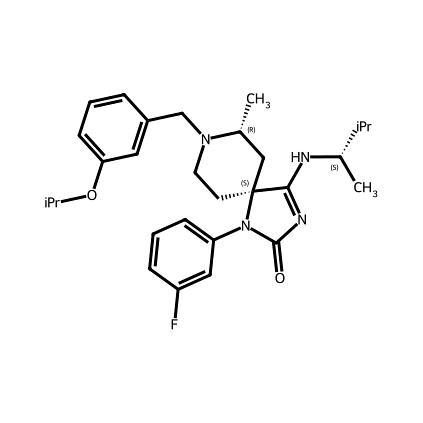 CC(C)Oc1cccc(CN2CC[C@]3(C[C@H]2C)C(N[C@@H](C)C(C)C)=NC(=O)N3c2cccc(F)c2)c1